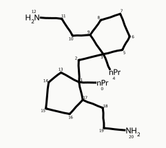 CCCC1(CC2(CCC)CCCCC2CCN)CCCCC1CCN